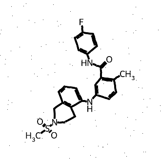 Cc1ccc(Nc2cccc3c2CCN(S(C)(=O)=O)C3)cc1C(=O)Nc1ccc(F)cc1